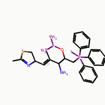 CC1=NC(/C=C(\C)C(N)C(CP(I)(c2ccccc2)(c2ccccc2)c2ccccc2)OP(P)P)CS1